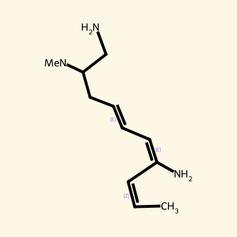 C\C=C/C(N)=C\C=C\CC(CN)NC